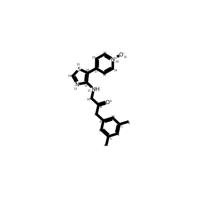 Cc1cc(C)cc(CC(=O)CNc2ncsc2-c2cc[n+]([O-])cc2)c1